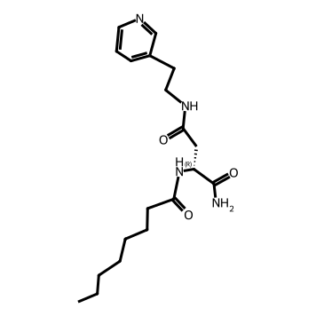 CCCCCCCC(=O)N[C@H](CC(=O)NCCc1cccnc1)C(N)=O